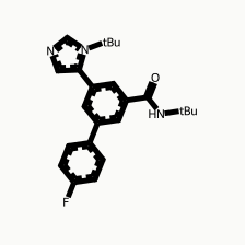 CC(C)(C)NC(=O)c1cc(-c2ccc(F)cc2)cc(-c2cncn2C(C)(C)C)c1